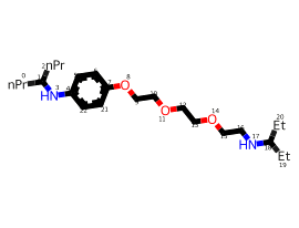 CCCC(CCC)Nc1ccc(OCCOCCOCCNC(CC)CC)cc1